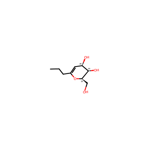 CCCC1=C[C@@H](O)[C@@H](O)[C@@H](CO)O1